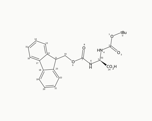 CC(C)(C)OC(=O)N[C@H](NC(=O)OCC1c2ccccc2-c2ccccc21)C(=O)O